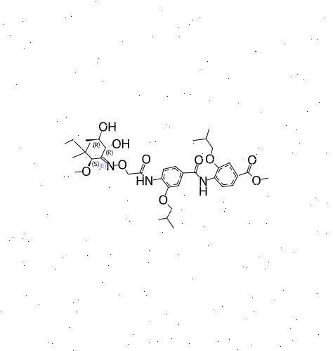 CCC(C)(C)[C@H](OC)/C(=N/OCC(=O)Nc1ccc(C(=O)Nc2ccc(C(=O)OC)cc2OCC(C)C)cc1OCC(C)C)[C@@H](O)[C@@H](C)O